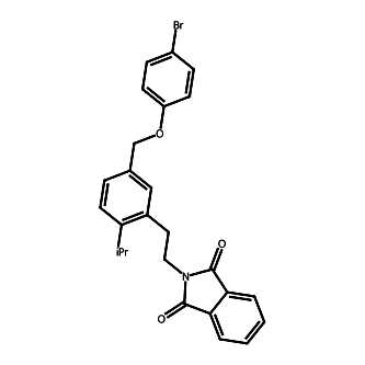 CC(C)c1ccc(COc2ccc(Br)cc2)cc1CCN1C(=O)c2ccccc2C1=O